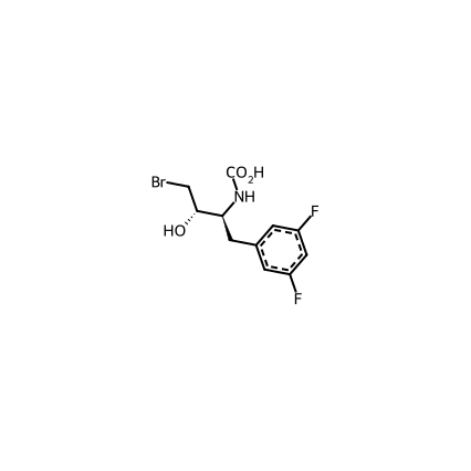 O=C(O)N[C@@H](Cc1cc(F)cc(F)c1)[C@H](O)CBr